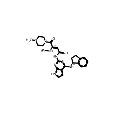 CC(C)N/C(=C\C(=N)Nc1nc(N[C@H]2CCc3ccccc32)c2cc[nH]c2n1)C(=O)N1CCN(C)CC1